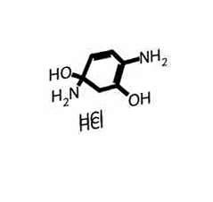 Cl.Cl.NC1=C(O)CC(N)(O)C=C1